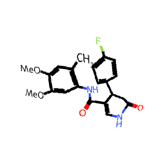 COc1cc(C)c(NC(=O)C2=CNC(=O)CC2c2ccc(F)cc2)cc1OC